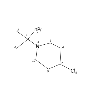 CCCC(C)(C)N1CCC(Cl)CC1